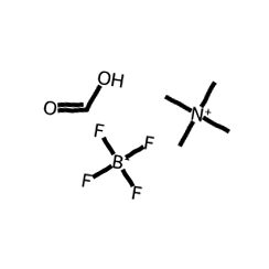 C[N+](C)(C)C.F[B-](F)(F)F.O=CO